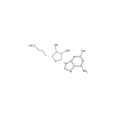 Nc1nc(O)nc2c1ncn2[C@@H]1O[C@H](CCCC(=O)O)C(O)C1O